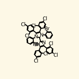 Clc1ccc(C2=C(c3ccc(Cl)cc3Cl)N(c3ccccc3Br)C(c3nc(-c4ccc(Cl)cc4Cl)c(-c4ccc(Cl)cc4Cl)[nH]3)N2c2ccccc2Br)c(Cl)c1